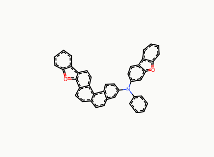 c1ccc(N(c2ccc3c(ccc4ccc5c(ccc6c7ccccc7oc65)c43)c2)c2ccc3c(c2)oc2ccccc23)cc1